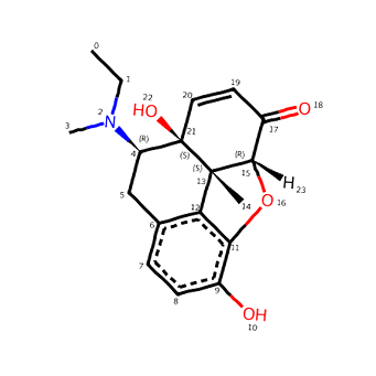 CCN(C)[C@@H]1Cc2ccc(O)c3c2[C@@]2(C)[C@@H](O3)C(=O)C=C[C@@]12O